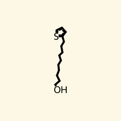 OCCCCCCCCCCc1cccs1